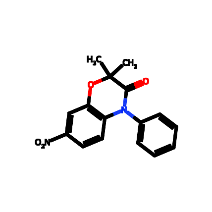 CC1(C)Oc2cc([N+](=O)[O-])ccc2N(c2ccccc2)C1=O